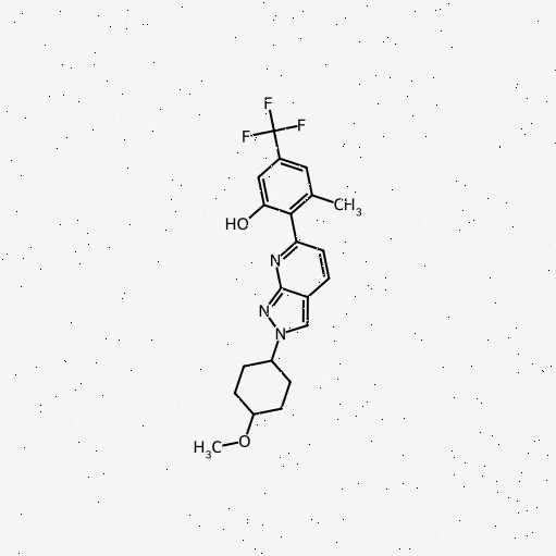 COC1CCC(n2cc3ccc(-c4c(C)cc(C(F)(F)F)cc4O)nc3n2)CC1